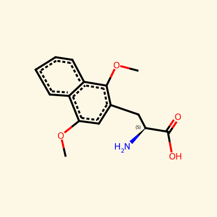 COc1cc(C[C@H](N)C(=O)O)c(OC)c2ccccc12